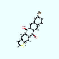 O=C1c2cc3cc(Br)ccc3cc2C(=O)c2cc3sccc3cc21